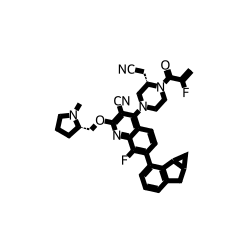 C=C(F)C(=O)N1CCN(c2c(C#N)c(OC[C@@H]3CCCN3C)nc3c(F)c(-c4cccc5c4C4CC4C5)ccc23)C[C@@H]1CC#N